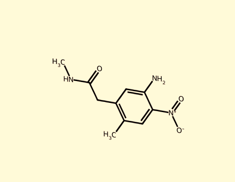 CNC(=O)Cc1cc(N)c([N+](=O)[O-])cc1C